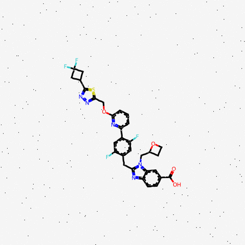 O=C(O)c1ccc2nc(Cc3cc(F)c(-c4cccc(OCc5nnc(C6CC(F)(F)C6)s5)n4)cc3F)n(CC3CCO3)c2c1